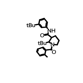 Cc1ccccc1C(=O)N1CCCC(C(=O)Nc2cccc(C(C)(C)C)c2)C1C(C)(C)C